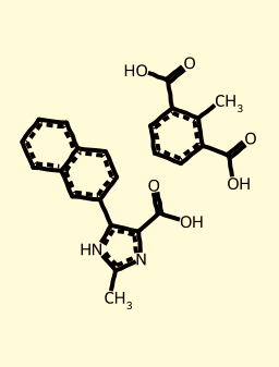 Cc1c(C(=O)O)cccc1C(=O)O.Cc1nc(C(=O)O)c(-c2ccc3ccccc3c2)[nH]1